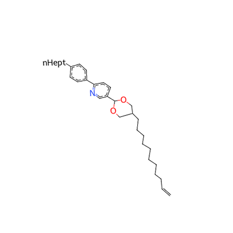 C=CCCCCCCCCCC1COC(c2ccc(-c3ccc(CCCCCCC)cc3)nc2)OC1